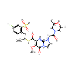 CCCCOc1c(C(=O)SC(C=O)Cc2ccc(F)cc2S(C)(=O)=O)nc2n(CC(=O)N3C[C@@H](C)O[C@H](C)C3)ccn2c1=O